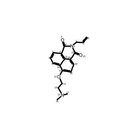 C=CCN1C(=O)c2cccc3c(OCCN(C)C)ccc(c23)C1=O